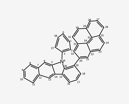 c1ccc(-n2c3cc4ccccc4cc3c3cccc(-c4cc5ccc6cccc7ccc(c4)c5c67)c32)cc1